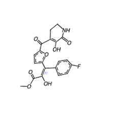 COC(=O)/C(O)=C(/c1ccc(F)cc1)c1ccc(C(=O)C2=C(O)C(=O)NCC2)o1